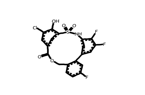 O=C1OCc2ccc(F)cc2-c2cc(F)c(F)c(c2)NS(=O)(=O)c2cc1cc(Cl)c2O